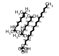 CC(C)CCCCCNC(C)C.CC(C)CCCCCNC(C)C.CCCCCCCCCCCCCCCCCCOP(=O)(O)O